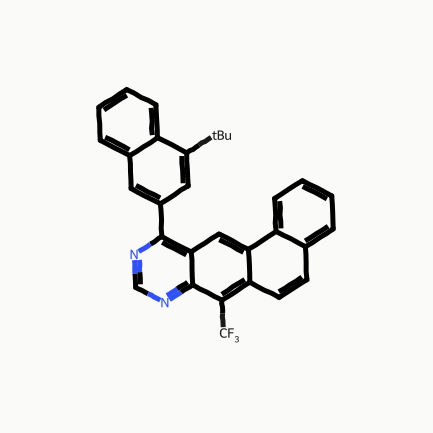 CC(C)(C)c1cc(-c2ncnc3c(C(F)(F)F)c4ccc5ccccc5c4cc23)cc2ccccc12